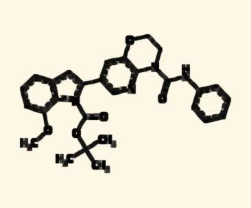 COc1cccc2cc(-c3cnc4c(c3)OCCN4C(=O)Nc3ccccc3)n(C(=O)OC(C)(C)C)c12